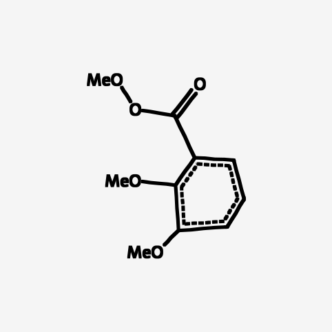 [CH2]OOC(=O)c1cccc(OC)c1OC